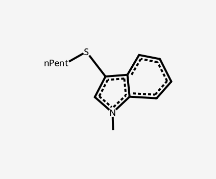 CCCCCSc1cn(C)c2ccccc12